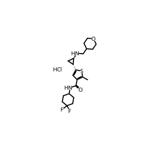 Cc1sc([C@@H]2C[C@H]2NCC2CCOCC2)cc1C(=O)NC1CCC(F)(F)CC1.Cl